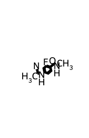 CNC(=O)c1ccc(NC(C)C#N)cc1F